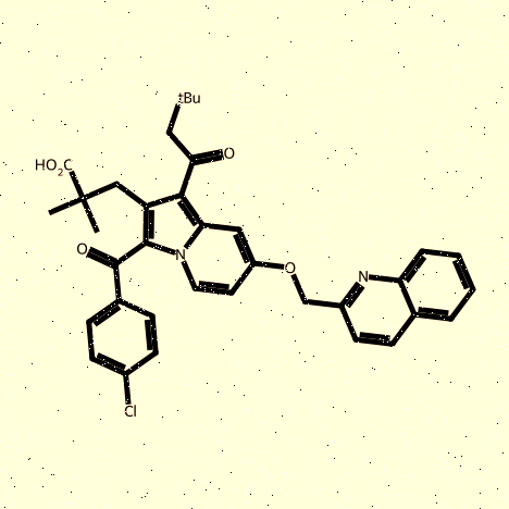 CC(C)(C)CC(=O)c1c(CC(C)(C)C(=O)O)c(C(=O)c2ccc(Cl)cc2)n2ccc(OCc3ccc4ccccc4n3)cc12